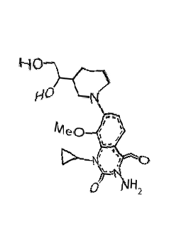 COc1c(N2CCCC(C(O)CO)C2)ccc2c(=O)n(N)c(=O)n(C3CC3)c12